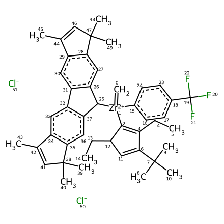 [CH2]=[Zr+2]([C]1=C(CC)C(C(C)(C)C)=CC1CC)([c]1ccc(C(F)(F)F)cc1)[CH]1c2cc3c(cc2-c2cc4c(cc21)C(C)(C)C=C4C)C(C)=CC3(C)C.[Cl-].[Cl-]